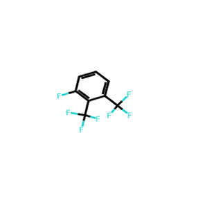 Fc1cccc(C(F)(F)F)c1C(F)(F)F